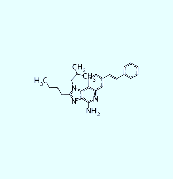 CCCCc1nc2c(N)nc3cc(C=Cc4ccccc4)ccc3c2n1CC(C)C